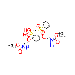 CC(C)(C)OC(=O)NCCOc1ccc(OCCNC(=O)OC(C)(C)C)c2c1C(S(=O)(=O)c1ccccc1)CS2(O)O